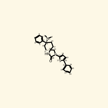 CN(C)[C@]1(c2ccccc2)CC[C@]2(CC1)CN(c1ccc(-c3ccccc3)s1)C(=O)N2